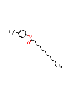 CCCCCCCCCCC(=O)Oc1ccc(C)cc1